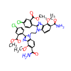 COC(=O)c1cc(Cl)ccc1-c1nc2c(OC)c(C(N)=O)ccc2n1CCn1c(-c2ccc(Cl)cc2C(=O)OC)nc2c(OC)c(C(N)=O)ccc21